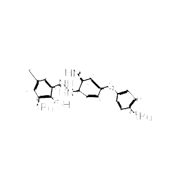 Cc1cc(NNC2C=CC(Sc3ccc(C(C)(C)C)cc3)=CC2=N)c(O)c(C(C)(C)C)c1